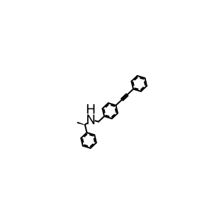 C[C@@H](NCc1ccc(C#Cc2ccccc2)cc1)c1ccccc1